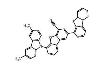 Cc1ccc2c(c1)c1cc(C)ccc1n2-c1cccc2c1oc1c(C#N)cc(-c3cccc4c3SC3C=CC=CC43)cc12